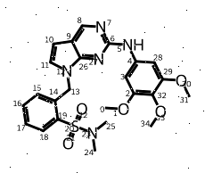 COc1cc(Nc2ncc3ccn(Cc4ccccc4S(=O)(=O)N(C)C)c3n2)cc(OC)c1OC